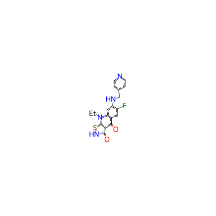 CCn1c2cc(NCc3ccncc3)c(F)cc2c(=O)c2c(=O)[nH]sc21